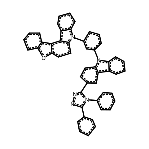 c1ccc(-c2nnc(-c3ccc4c(c3)c3ccccc3n4-c3cccc(-n4c5ccccc5c5c6c(ccc54)oc4ccccc46)c3)n2-c2ccccc2)cc1